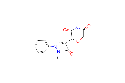 Cn1c(=O)c(C2OCC(=O)NC2=O)cn1-c1ccccc1